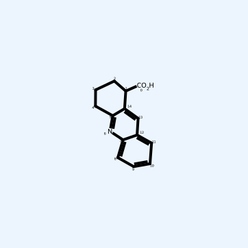 O=C(O)C1CCCc2nc3ccccc3cc21